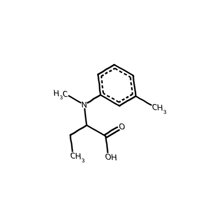 CCC(C(=O)O)N(C)c1cccc(C)c1